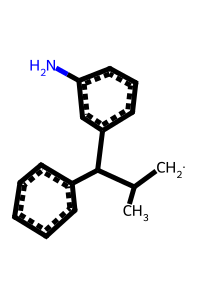 [CH2]C(C)C(c1ccccc1)c1cccc(N)c1